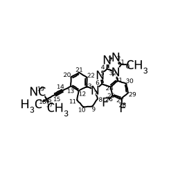 Cc1nnc2nc(N3CCCCc4c(C#CC(C)(C)C#N)cccc43)c3c(F)c(F)ccc3n12